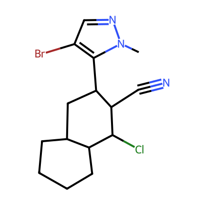 Cn1ncc(Br)c1C1CC2CCCCC2C(Cl)C1C#N